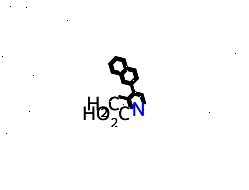 C=Cc1c(-c2ccc3ccccc3c2)ccnc1C(=O)O